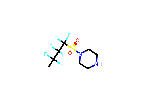 CC(F)(F)C(F)(F)C(F)(F)S(=O)(=O)N1CCNCC1